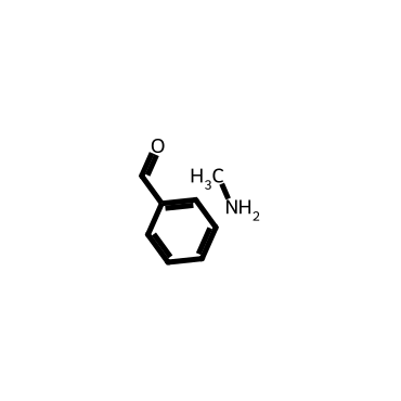 CN.O=Cc1ccccc1